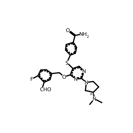 CN(C)[C@@H]1CCN(c2ncc(Sc3ccc(C(N)=O)cc3)c(OCc3ccc(F)c(C=O)c3)n2)C1